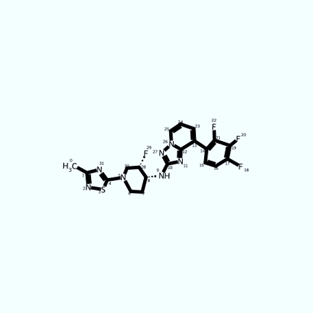 Cc1nsc(N2CC[C@@H](Nc3nc4c(-c5ccc(F)c(F)c5F)cccn4n3)[C@@H](F)C2)n1